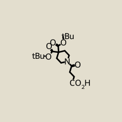 CC(C)(C)OC(=O)C1(C(=O)OC(C)(C)C)CCN(C(=O)CCC(=O)O)CC1